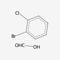 Clc1ccccc1Br.O=CO